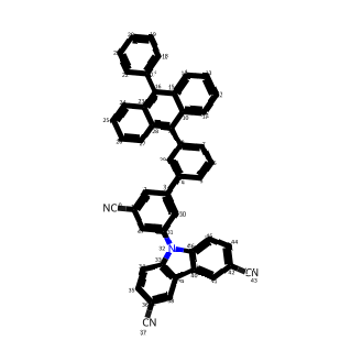 N#Cc1cc(-c2cccc(-c3c4ccccc4c(-c4ccccc4)c4ccccc34)c2)cc(-n2c3ccc(C#N)cc3c3cc(C#N)ccc32)c1